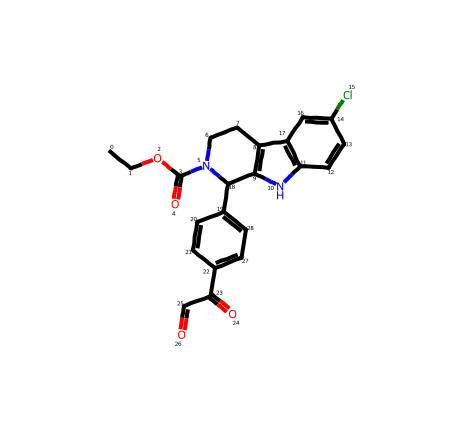 CCOC(=O)N1CCc2c([nH]c3ccc(Cl)cc23)C1c1ccc(C(=O)C=O)cc1